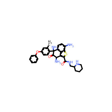 Cc1cc(Oc2ccccc2)ccc1C1(N)C(=O)C(N)c2c(C(=O)NCC3CCCCN3)sc3c(N)ccc1c23